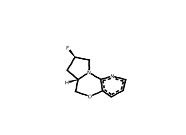 F[C@@H]1C[C@H]2COc3cccnc3N2C1